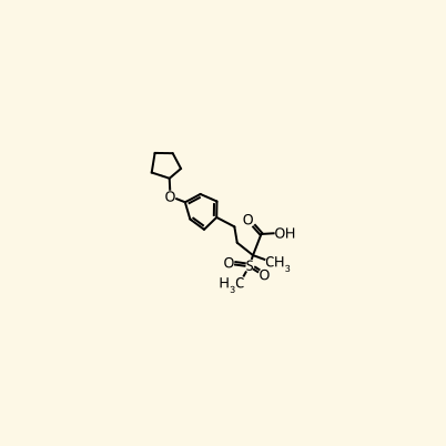 CC(CCc1ccc(OC2CCCC2)cc1)(C(=O)O)S(C)(=O)=O